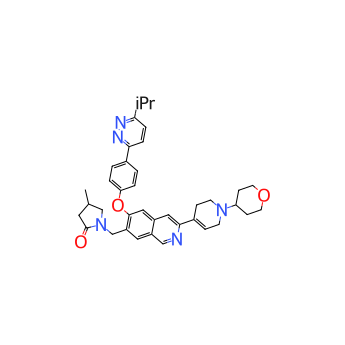 CC1CC(=O)N(Cc2cc3cnc(C4=CCN(C5CCOCC5)CC4)cc3cc2Oc2ccc(-c3ccc(C(C)C)nn3)cc2)C1